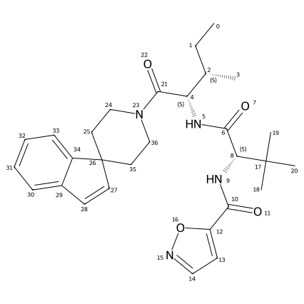 CC[C@H](C)[C@H](NC(=O)[C@@H](NC(=O)c1ccno1)C(C)(C)C)C(=O)N1CCC2(C=Cc3ccccc32)CC1